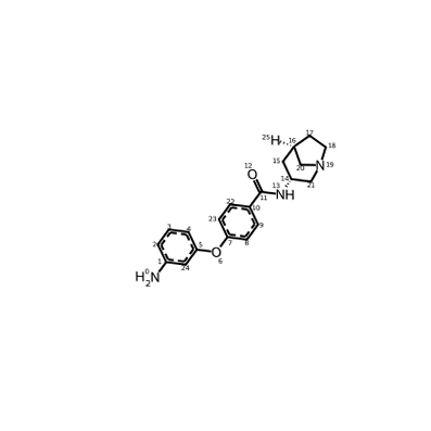 Nc1cccc(Oc2ccc(C(=O)N[C@@H]3C[C@H]4CCN(C4)C3)cc2)c1